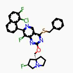 Fc1ccc2cccc(-c3ncc4c(SCc5ccccc5)nc(OC[C@]56CCCN5C[C@@H](F)C6)nc4c3F)c2c1Cl